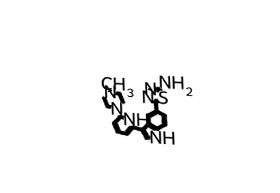 CN1CCN(C2C=CC=C(c3c[nH]c4ccc(-c5nnc(N)s5)cc34)N2)CC1